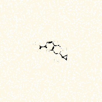 Cl.O=C(O)c1ccc2c(n1)CC(C1(O)CC1)NC2